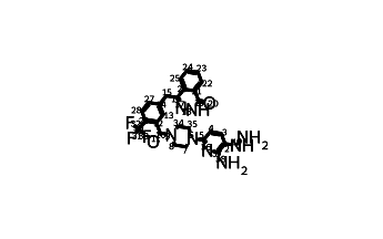 NNc1ccc(N2CCN(C(=O)c3cc(Cc4n[nH]c(=O)c5ccccc45)ccc3C(F)(F)F)CC2)nc1N